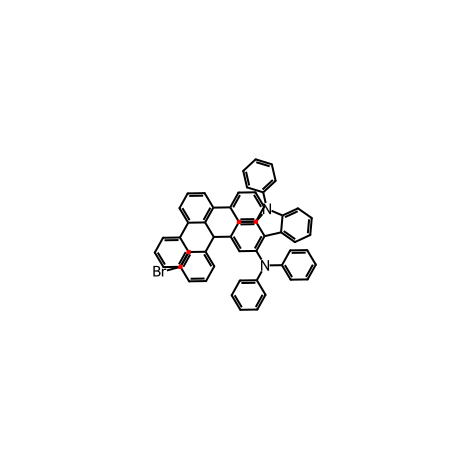 Brc1cccc(C(c2cc(N(c3ccccc3)c3ccccc3)c3c4ccccc4n(-c4ccccc4)c3c2)c2c(-c3ccccc3)cccc2-c2ccccc2)c1